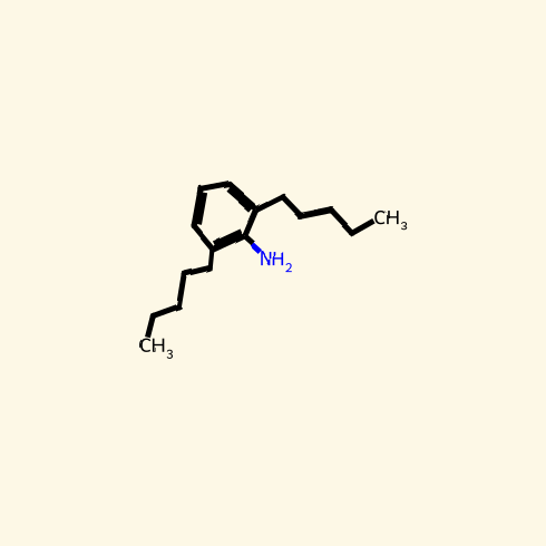 CCCCCc1cccc(CCCCC)c1N